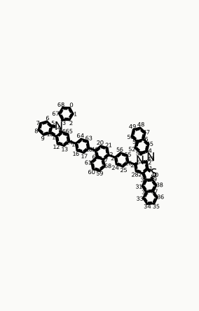 c1ccc(-n2c3ccccc3c3ccc(-c4ccc(-c5ccc(-c6ccc(-c7cc8c9cc%10ccccc%10cc9sc8c8nc9cc%10ccccc%10cc9n78)cc6)c6ccccc56)cc4)cc32)cc1